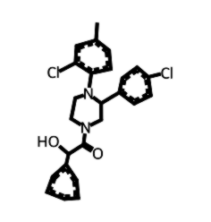 Cc1ccc(N2CCN(C(=O)C(O)c3ccccc3)CC2c2ccc(Cl)cc2)c(Cl)c1